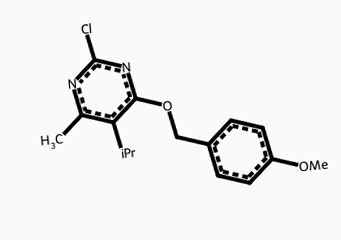 COc1ccc(COc2nc(Cl)nc(C)c2C(C)C)cc1